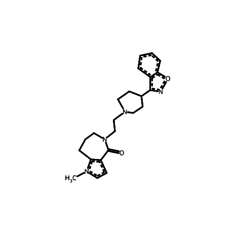 Cn1ccc2c1CCCN(CCN1CCC(c3noc4ccccc34)CC1)C2=O